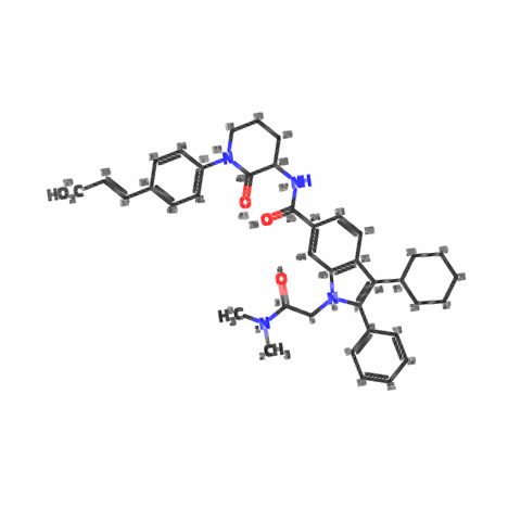 CN(C)C(=O)Cn1c(-c2ccccc2)c(C2CCCCC2)c2ccc(C(=O)NC3CCCN(c4ccc(/C=C/C(=O)O)cc4)C3=O)cc21